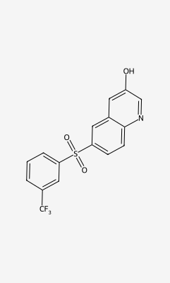 O=S(=O)(c1cccc(C(F)(F)F)c1)c1ccc2ncc(O)cc2c1